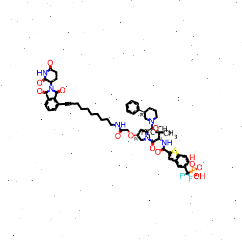 CC(C)(C)[C@H](NC(=O)c1cc2cc(C(F)(F)P(=O)(O)O)ccc2s1)C(=O)N1C[C@@H](OCC(=O)NCCCCCCCCC#Cc2cccc3c2C(=O)N(C2CCC(=O)NC2=O)C3=O)C[C@H]1C(=O)N1CCC[C@H](c2ccccc2)C1